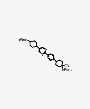 CCCCCC1CCC(c2cnc(-c3ccc(C4CCC(C#N)(CCCCC)CC4)cc3)nc2)CC1